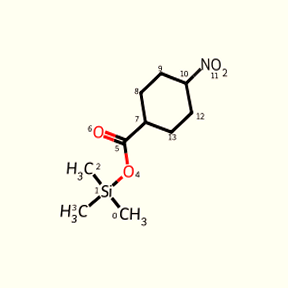 C[Si](C)(C)OC(=O)C1CCC([N+](=O)[O-])CC1